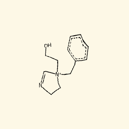 OCC[N+]1(Cc2ccccc2)C=NCC1